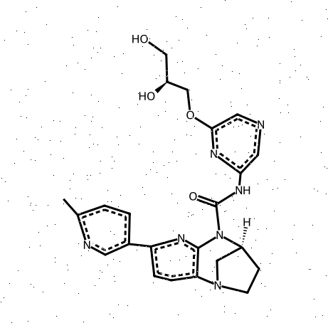 Cc1ccc(-c2ccc3c(n2)N(C(=O)Nc2cncc(OC[C@@H](O)CO)n2)[C@H]2CCN3C2)cn1